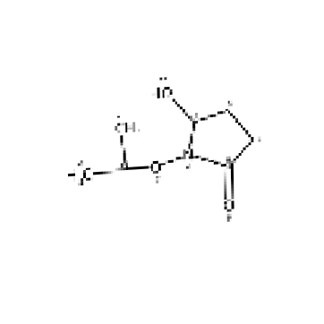 CC(C)ON1C(=O)CCC1O